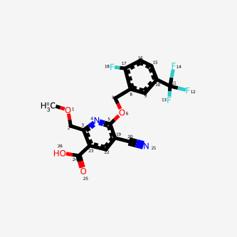 COCc1nc(OCc2cc(C(F)(F)F)ccc2F)c(C#N)cc1C(=O)O